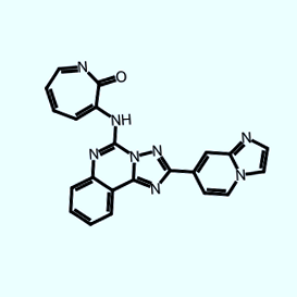 O=c1nccccc1Nc1nc2ccccc2c2nc(-c3ccn4ccnc4c3)nn12